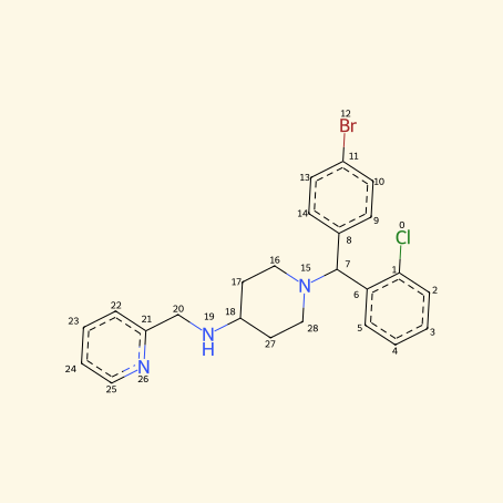 Clc1ccccc1C(c1ccc(Br)cc1)N1CCC(NCc2ccccn2)CC1